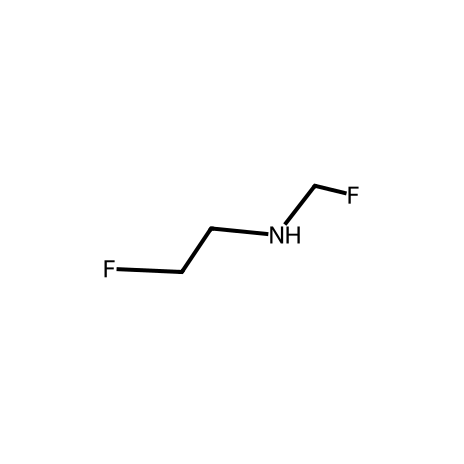 FCCNCF